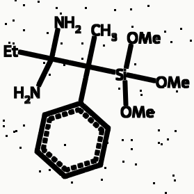 CCC(N)(N)C(C)(c1ccccc1)[Si](OC)(OC)OC